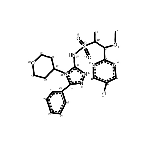 COC(c1ncc(Cl)cn1)C(C)S(=O)(=O)Nc1nnc(-c2ccccc2)n1C1CCOCC1